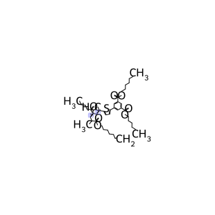 C=CCCCCCOC(=O)C(C)/C=C(\C=C(/C)c1ccc(-c2cc(C(=O)OCCCCCC)cc(C(=O)OCCCCCCC)c2)s1)C(=O)CCCC